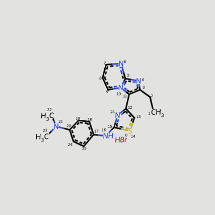 Br.CCc1nc2ncccn2c1-c1csc(Nc2ccc(N(C)C)cc2)n1